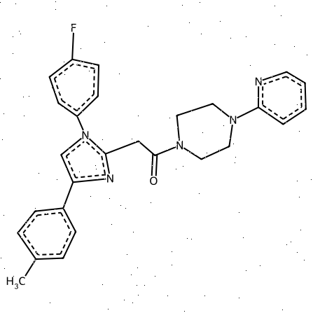 Cc1ccc(-c2cn(-c3ccc(F)cc3)c(CC(=O)N3CCN(c4ccccn4)CC3)n2)cc1